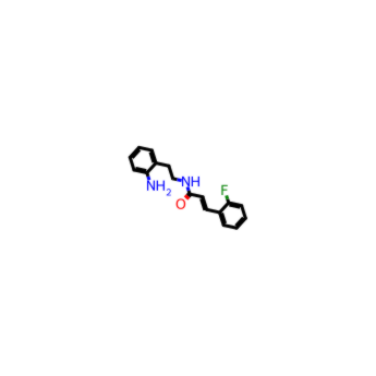 Nc1ccccc1CCNC(=O)C=Cc1ccccc1F